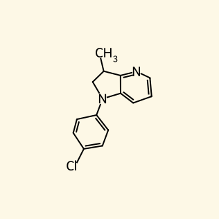 CC1CN(c2ccc(Cl)cc2)c2cccnc21